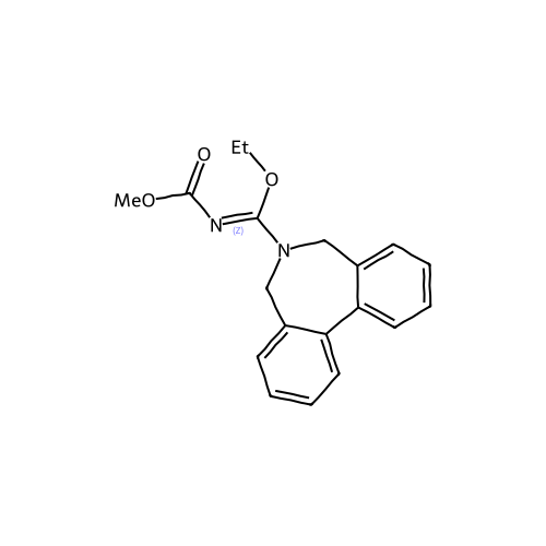 CCO/C(=N\C(=O)OC)N1Cc2ccccc2-c2ccccc2C1